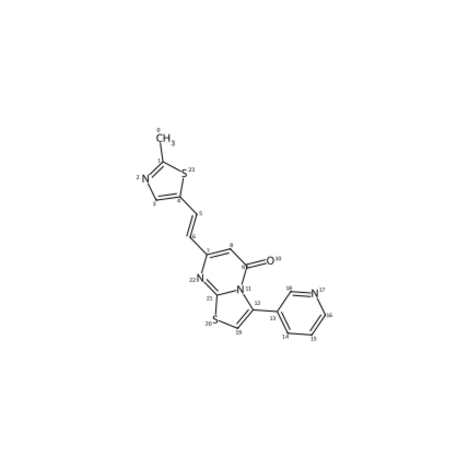 Cc1ncc(/C=C/c2cc(=O)n3c(-c4cccnc4)csc3n2)s1